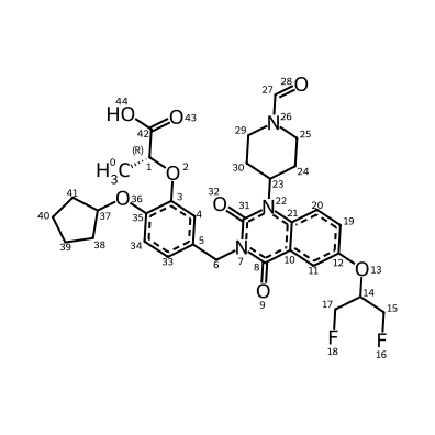 C[C@@H](Oc1cc(Cn2c(=O)c3cc(OC(CF)CF)ccc3n(C3CCN(C=O)CC3)c2=O)ccc1OC1CCCC1)C(=O)O